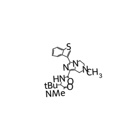 CNC(=O)C(NC(=O)c1nc(-c2csc3ccccc23)n2c1CN(C)CC2)C(C)(C)C